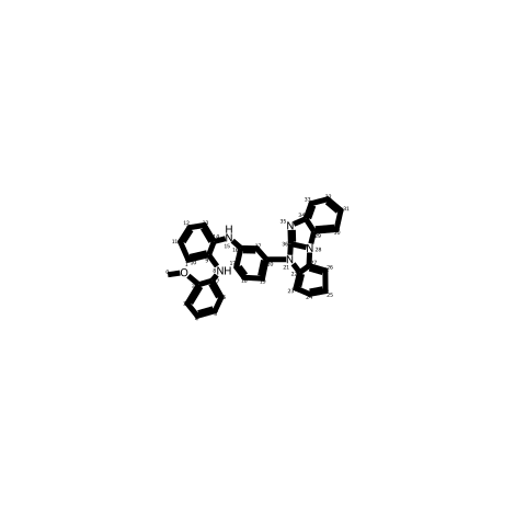 COc1ccccc1Nc1ccccc1Nc1cccc(-n2c3ccccc3n3c4ccccc4nc23)c1